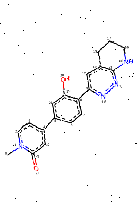 Cn1ccc(-c2ccc(-c3cc4c(nn3)NCCC4)c(O)c2)cc1=O